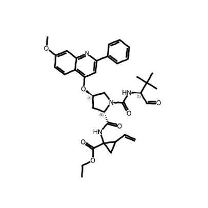 C=CC1CC1(NC(=O)[C@@H]1C[C@@H](Oc2cc(-c3ccccc3)nc3cc(OC)ccc23)CN1C(=O)N[C@H](C=O)C(C)(C)C)C(=O)OCC